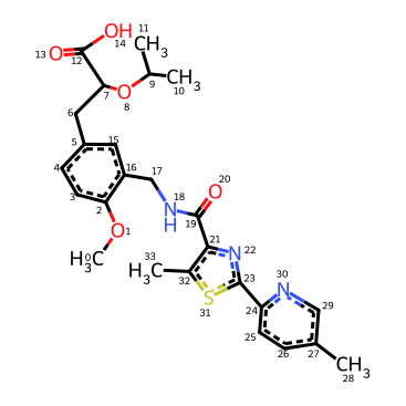 COc1ccc(CC(OC(C)C)C(=O)O)cc1CNC(=O)c1nc(-c2ccc(C)cn2)sc1C